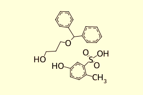 Cc1ccc(O)cc1S(=O)(=O)O.OCCCOC(c1ccccc1)c1ccccc1